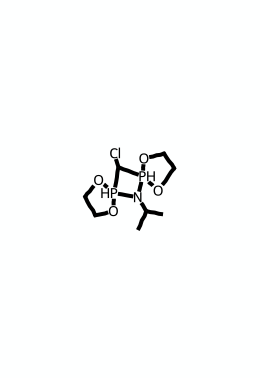 CC(C)N1[PH]2(OCCO2)C(Cl)[PH]12OCCO2